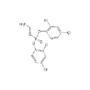 CCOP(=O)(Oc1ccc(Cl)cc1Cl)Oc1ccc(Cl)cc1Cl